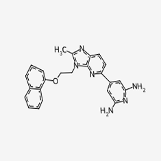 Cc1nc2ccc(-c3cc(N)nc(N)c3)nc2n1CCOc1cccc2ccccc12